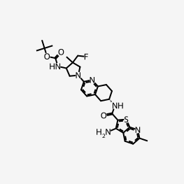 Cc1ccc2c(N)c(C(=O)N[C@H]3CCc4nc(N5CC(NC(=O)OC(C)(C)C)C(C)(CF)C5)ccc4C3)sc2n1